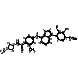 COc1ccc(-c2cnc3c(Nc4ccc(C(=O)N[C@H]5C[C@@H](N)C5)c(C)c4)nccn23)c(F)c1F